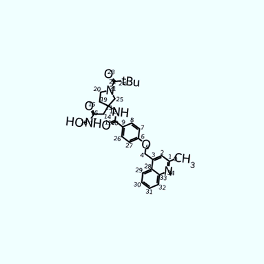 Cc1cc(COc2ccc(C(=O)NC3(CC(=O)NO)CCN(C(=O)C(C)(C)C)C3)cc2)c2ccccc2n1